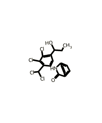 CCC(O)c1ccc(C(Cl)Cl)c(Cl)c1Cl.O=c1[nH]c2ccc1cc2